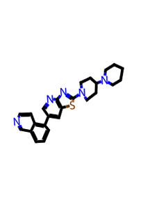 c1cc(-c2cnc3nc(N4CCC(N5CCCCC5)CC4)sc3c2)c2ccncc2c1